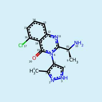 Cc1n[nH]cc1-n1c([C@H](C)N)nc2cccc(Cl)c2c1=O